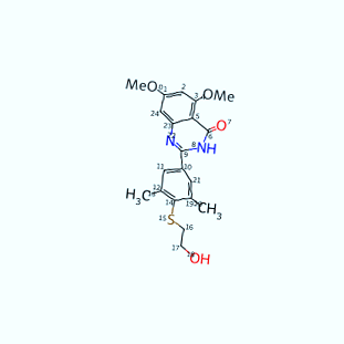 COc1cc(OC)c2c(=O)[nH]c(-c3cc(C)c(SCCO)c(C)c3)nc2c1